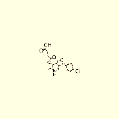 CC1=C(OC(=O)CCC(=O)O)C2=CO[C@@H](c3ccc(Cl)cc3)C2=CN1